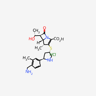 Cc1cc([C@H]2C[C@H](SC3=C(C(=O)O)N4C(=O)[C@H]([C@@H](C)O)[C@H]4[C@H]3C)CN2)ccc1CN.Cl